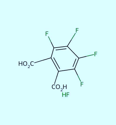 F.O=C(O)c1c(F)c(F)c(F)c(F)c1C(=O)O